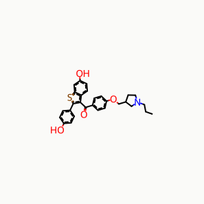 CCCN1CCC(COc2ccc(C(=O)c3c(-c4ccc(O)cc4)sc4cc(O)ccc34)cc2)C1